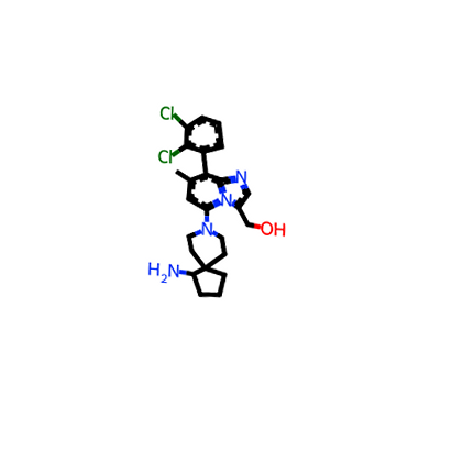 Cc1cc(N2CCC3(CCCC3N)CC2)n2c(CO)cnc2c1-c1cccc(Cl)c1Cl